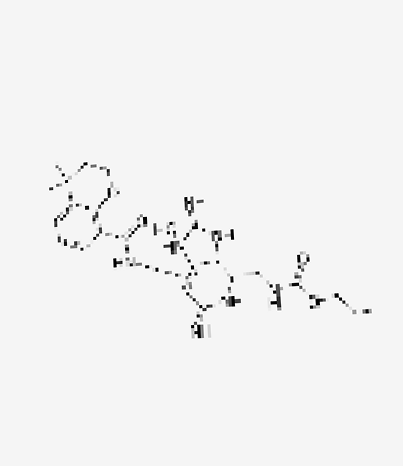 CCCOC(=O)NC[C@@H]1NC(=N)N2CC(NC(=O)c3cccc4c3OCCC4(C)C)[C@@H](O)C23NC(=N)NC13